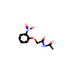 CC(=O)NC(=O)COc1ccccc1[N+](=O)[O-]